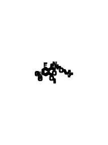 CCOC(=O)c1cc([N+](=O)[O-])cc(F)c1-c1cnn(COCCS(C)(C)C)c1